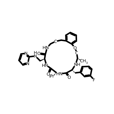 CC(C)[C@H]1NC(=O)[C@@H](Cc2cccc(F)c2)N[C@@H](C)COc2ccccc2CCCNC(=O)[C@H](CNc2ncccn2)NC1=O